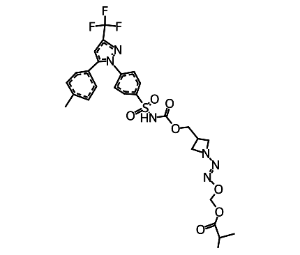 Cc1ccc(-c2cc(C(F)(F)F)nn2-c2ccc(S(=O)(=O)NC(=O)OCC3CN(N=NOCOC(=O)C(C)C)C3)cc2)cc1